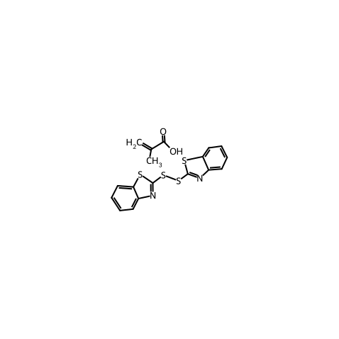 C=C(C)C(=O)O.c1ccc2sc(SSc3nc4ccccc4s3)nc2c1